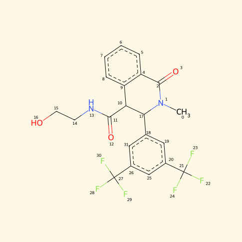 CN1C(=O)c2ccccc2C(C(=O)NCCO)C1c1cc(C(F)(F)F)cc(C(F)(F)F)c1